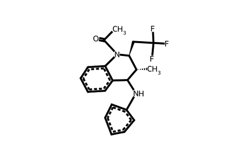 CC(=O)N1c2ccccc2C(Nc2ccccc2)[C@@H](C)[C@@H]1CC(F)(F)F